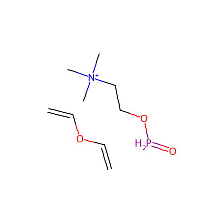 C=COC=C.C[N+](C)(C)CCO[PH2]=O